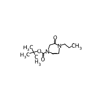 CCCN1CCN(C(=O)OC(C)(C)C)CC1=O